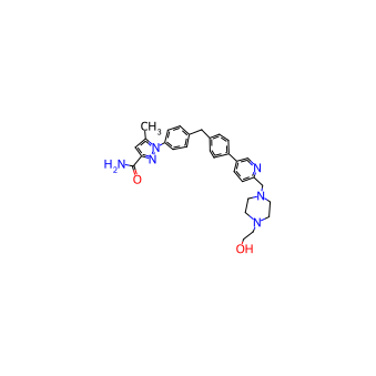 Cc1cc(C(N)=O)nn1-c1ccc(Cc2ccc(-c3ccc(CN4CCN(CCO)CC4)nc3)cc2)cc1